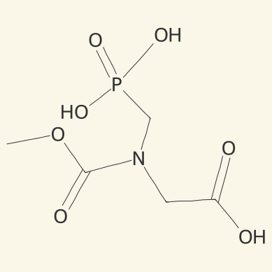 COC(=O)N(CC(=O)O)CP(=O)(O)O